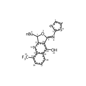 CCCCC1OC(=Nc2nccs2)c2c1nc1c(C(F)(F)F)cccc1c2O